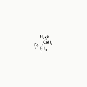 P.[CaH2].[Fe].[SeH2]